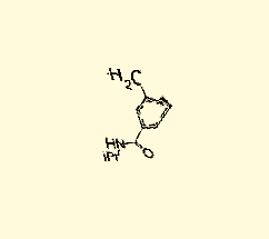 [CH2]c1cccc(C(=O)NC(C)C)c1